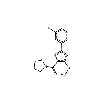 COc1nc(-c2cccc(F)c2)sc1C(=O)N1CCCO1